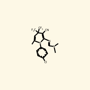 CC1=CC(C(F)(F)F)(C(F)(F)F)C(C#N)=C(N=CN(C)C)N1c1ccc(Cl)cc1